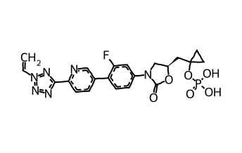 C=Cn1nnc(-c2ccc(-c3ccc(N4C[C@@H](CC5(OP(=O)(O)O)CC5)OC4=O)cc3F)cn2)n1